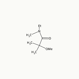 CCN(C)C(=O)C(C)(C)OC